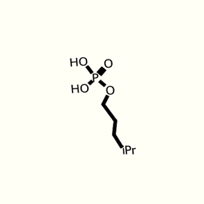 CC(C)CCCOP(=O)(O)O